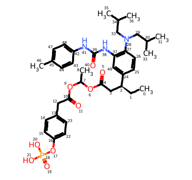 CC[C@@H](CC(=O)OC(C)OC(=O)Cc1ccc(OP(=O)(O)O)cc1)c1ccc(N(CC(C)C)CC(C)C)c(NC(=O)Nc2ccc(C)cc2)c1